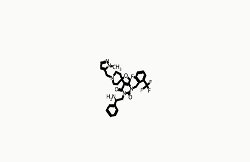 Cn1nccc1CN1CCC2(CC1)OCc1c2c(=O)n(C[C@H](N)c2ccccc2)c(=O)n1Cc1c(F)cccc1C(F)(F)F